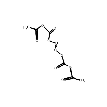 CC(=O)OC(=O)OOOOC(=O)OC(C)=O